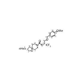 CCCCCC[C@H]1COC2(CCN(C(=O)O[C@H](COCc3ccc(OC)cc3)C(F)(F)F)CC2)C1